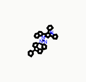 c1ccc(C2c3ccccc3-c3c(-c4nc(-n5c6cc7c8ccccc8n8c9ccccc9c(c6c6ccc9ccccc9c65)c78)nc5ccccc45)cccc32)cc1